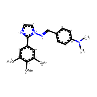 COc1cc(-c2nccn2/N=C/c2ccc(N(C)C)cc2)cc(OC)c1OC